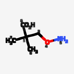 CC(C)(CON)C(=O)O